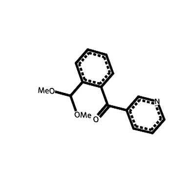 COC(OC)c1ccccc1C(=O)c1cccnc1